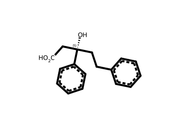 O=C(O)C[C@@](O)(CCc1ccccc1)c1ccccc1